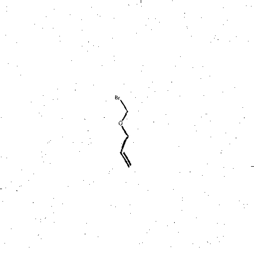 C=CCOCBr